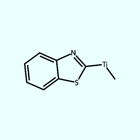 [CH3][Ti][c]1nc2ccccc2s1